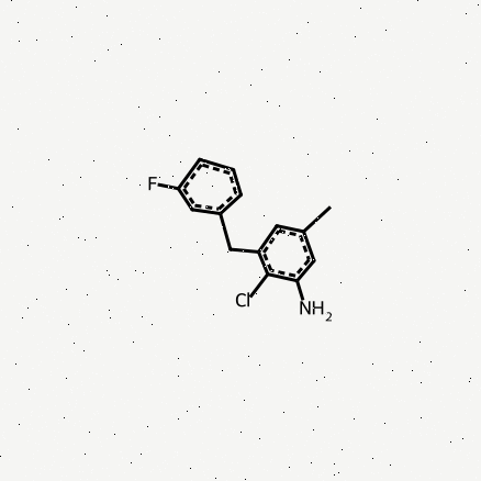 Cc1cc(N)c(Cl)c(Cc2cccc(F)c2)c1